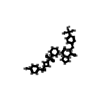 O=C(NCc1ccc(C(F)(F)F)cc1)[C@H]1CCCN1C(=O)[C@H]1CCCN(S(=O)(=O)N2CC(Nc3ccc(F)cc3)C2)C1